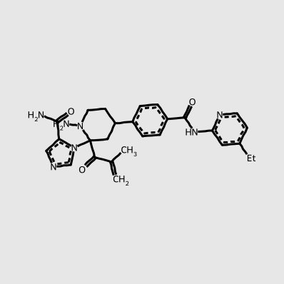 C=C(C)C(=O)C1(n2cncc2C(N)=O)CC(c2ccc(C(=O)Nc3cc(CC)ccn3)cc2)CCN1N